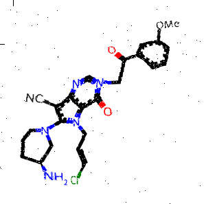 COc1cccc(C(=O)Cn2cnc3c(C#N)c(N4CCC[C@H](N)C4)n(CC=CCl)c3c2=O)c1